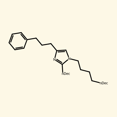 CCCCCCCCCCCCCCn1cc(CCCc2ccccc2)nc1CCCCCCCCCC